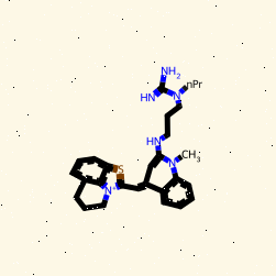 CCCN(CCCNC1=C/C(=C\c2sc3cccc4c3[n+]2CCC4)c2ccccc2N1C)C(=N)N